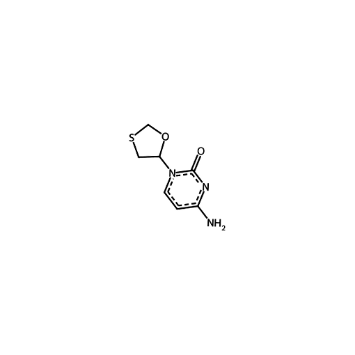 Nc1ccn(C2CSCO2)c(=O)n1